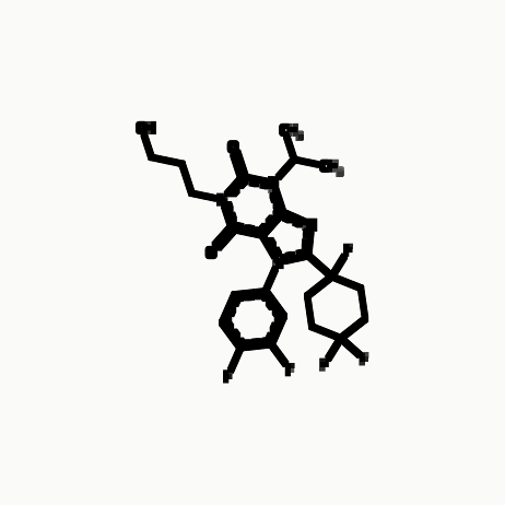 CC(C)n1c(=O)n(CCCO)c(=O)c2c1nc(C1(F)CCC(F)(F)CC1)n2-c1ccc(F)c(F)c1